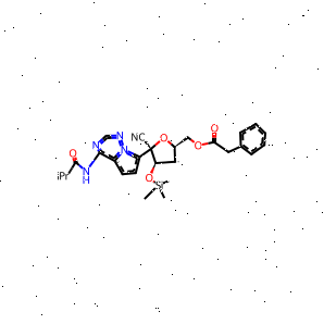 CC(C)C(=O)Nc1ncnn2c([C@]3(C#N)O[C@@H](COC(=O)Cc4ccccc4)[CH][C@H]3O[Si](C)(C)C)ccc12